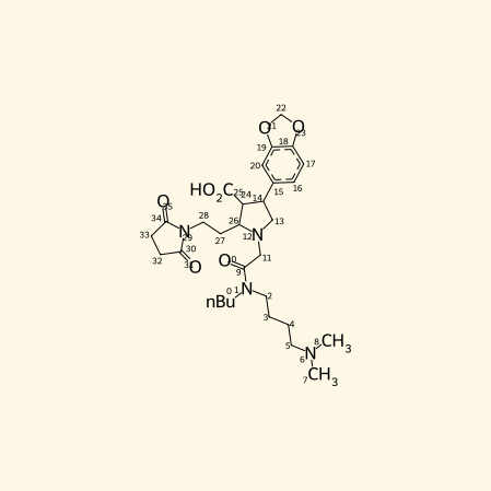 CCCCN(CCCCN(C)C)C(=O)CN1CC(c2ccc3c(c2)OCO3)C(C(=O)O)C1CCN1C(=O)CCC1=O